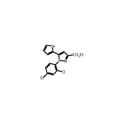 CCOC(=O)c1cc(-c2ccc[se]2)n(-c2ccc(Cl)cc2Cl)n1